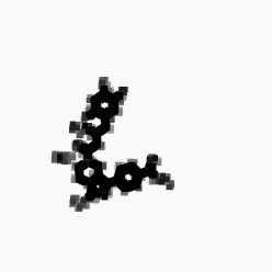 Cl.NC(=O)c1ccc(-c2nc(C(F)(F)F)n3c2CN(C(=O)CC(N)Cc2cc(F)c(F)cc2F)CC3)cc1